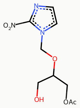 CC(=O)OCC(CO)OCn1ccnc1[N+](=O)[O-]